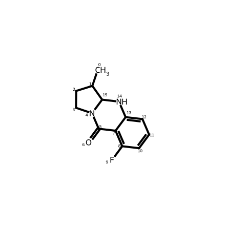 CC1CCN2C(=O)c3c(F)cccc3NC12